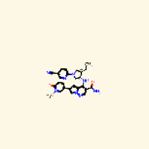 CC[C@@H]1CN(c2ccc(C#N)cn2)C[C@H]1Nc1c(C(N)=O)cnn2cc(-c3ccc(=O)n(C)c3)cc12